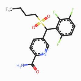 NC(=O)c1ccc(C(c2c(F)ccc(F)c2F)S(=O)(=O)CCCC(F)(F)F)cn1